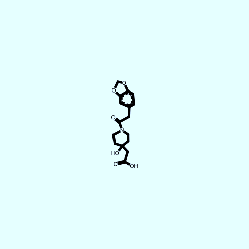 O=C(O)CC1(O)CCN(C(=O)Cc2ccc3c(c2)OCO3)CC1